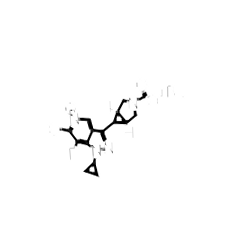 CC(C)(C)OC(=O)N1C[C@@H]2C(c3nn(C4CC4)c4c(F)c(Cl)[n+]([O-])cc34)[C@@H]2C1